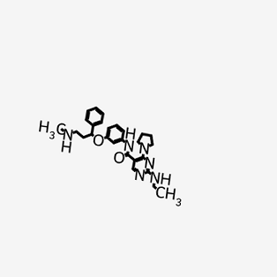 CCNc1ncc(C(=O)Nc2cccc(OC(CCNC)c3ccccc3)c2)c(N2CCCC2)n1